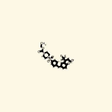 CCOC(=O)N1CCN(S(=O)(=O)c2ccc(Cc3ccc4oc(=O)cc(C(F)(F)F)c4c3)cc2)CC1